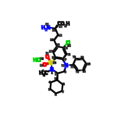 CN1[C@H](C2CCCCC2)CN(c2ccccc2)c2cc(Cl)c(CC[C@@H](N)C(=O)O)cc2S1(=O)=O.Cl